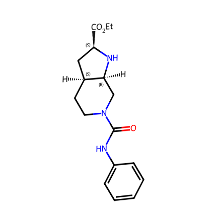 CCOC(=O)[C@@H]1C[C@@H]2CCN(C(=O)Nc3ccccc3)C[C@@H]2N1